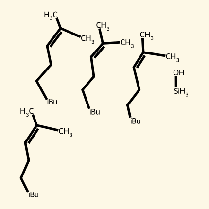 CCC(C)CCC=C(C)C.CCC(C)CCC=C(C)C.CCC(C)CCC=C(C)C.CCC(C)CCC=C(C)C.O[SiH3]